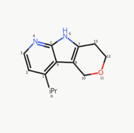 CC(C)c1ccnc2[nH]c3c(c12)COCC3